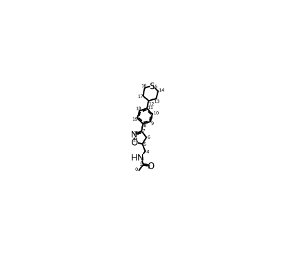 CC(=O)NCC1CC(c2ccc(C3CCSCC3)cc2)=NO1